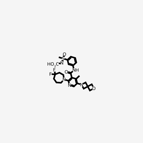 Cc1c(N2CC3(COC3)C2)cnc(N2CCCC(F)(F)CC2)c1C(=O)Nc1cccc(S(C)(=O)=NC(=O)O)c1